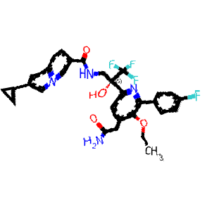 CCOc1c(CC(N)=O)cc([C@@](O)(CNC(=O)c2ccc3cc(C4CC4)cn3c2)C(F)(F)F)nc1-c1ccc(F)cc1